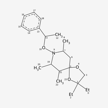 CCC1(CC)COC2(CC(C)N(OC(C)c3ccccc3)C(C)C2C)O1